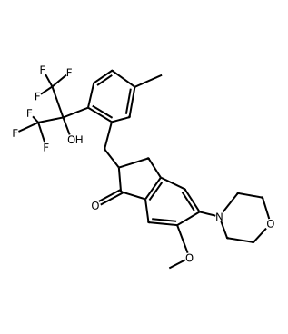 COc1cc2c(cc1N1CCOCC1)CC(Cc1cc(C)ccc1C(O)(C(F)(F)F)C(F)(F)F)C2=O